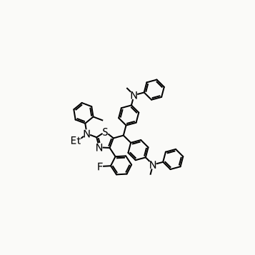 CCN(c1nc(-c2ccccc2F)c(C(c2ccc(N(C)c3ccccc3)cc2)c2ccc(N(C)c3ccccc3)cc2)s1)c1ccccc1C